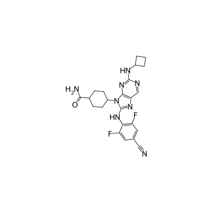 N#Cc1cc(F)c(Nc2nc3cnc(NC4CCC4)nc3n2C2CCC(C(N)=O)CC2)c(F)c1